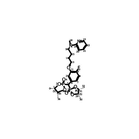 C[C@@H]1OP(=O)(C(c2ccc(F)c(OCCCCN(C)c3ccccn3)c2)P2(=O)O[C@@H](C)[C@@H](C)O2)O[C@@H]1C